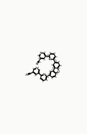 N#Cc1cncc(-c2cccc(-c3ccc4oc5ccc(-c6cccc(-c7cncc(C#N)c7)n6)cc5c4c3)n2)c1